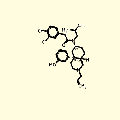 C=CCN1CC[C@@]2(c3cccc(O)c3)C[C@@H](N(CC(C)C)C(=O)Cc3ccc(Cl)c(Cl)c3)CC[C@@H]2C1